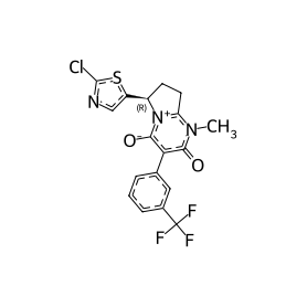 Cn1c2[n+](c([O-])c(-c3cccc(C(F)(F)F)c3)c1=O)[C@@H](c1cnc(Cl)s1)CC2